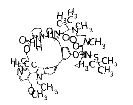 CCn1c(-c2cnccc2COC)c2c3cc(ccc31)-c1cc(O)cc(c1)C[C@H](NC(=O)C(C(C)C)N(C)C(=O)CN(C)C(=O)[C@@H]1C(C3CC3)N1SC(C)(C)C)C(=O)N1CCC[C@H](N1)C(=O)OCC(C)(C)C2